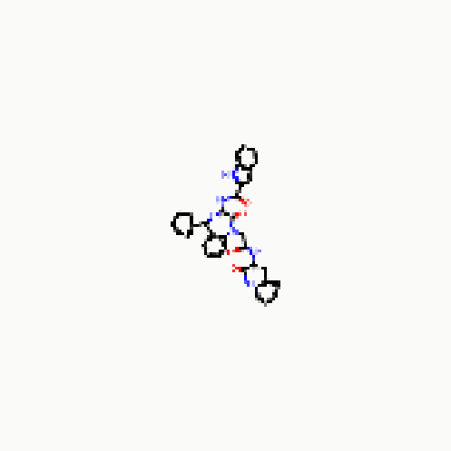 NC(=O)[C@H](Cc1ccccc1)NC(=O)CN1C(=O)[C@H](NC(=O)c2cc3ccccc3[nH]2)N=C(c2ccccc2)c2ccccc21